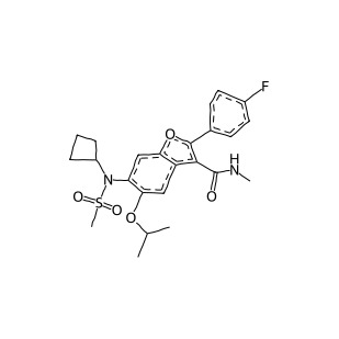 CNC(=O)c1c(-c2ccc(F)cc2)oc2cc(N(C3CCC3)S(C)(=O)=O)c(OC(C)C)cc12